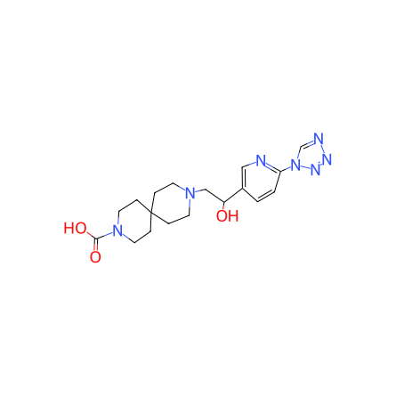 O=C(O)N1CCC2(CCN(CC(O)c3ccc(-n4cnnn4)nc3)CC2)CC1